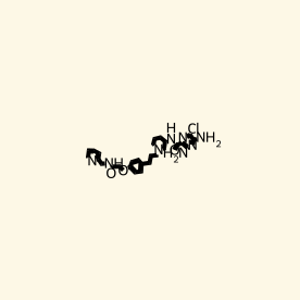 Nc1nc(N)c(C(=O)N[C@H]2CCCN(CCCc3ccc(OCC(=O)NCc4ccccn4)cc3)C2)nc1Cl